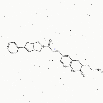 NCCC1Cc2cc(/C=C/C(=O)N3CC4C=C(c5ccccc5)CC4C3)cnc2NC1=O